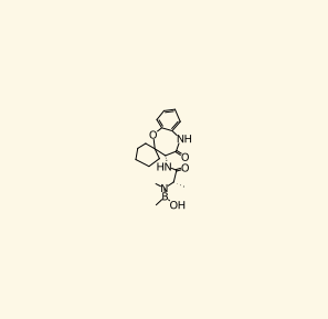 CB(O)N(C)[C@@H](C)C(=O)N[C@H]1C(=O)Nc2ccccc2OC12CCCCC2